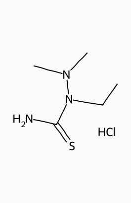 CCN(C(N)=S)N(C)C.Cl